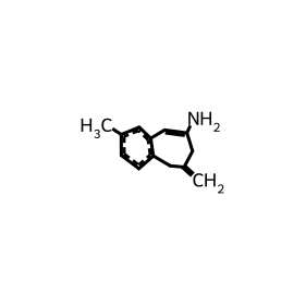 C=C1CC(N)=Cc2cc(C)ccc2C1